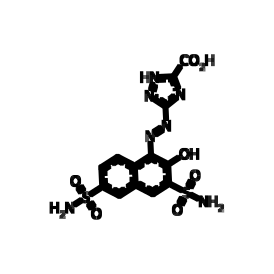 NS(=O)(=O)c1ccc2c(/N=N/c3n[nH]c(C(=O)O)n3)c(O)c(S(N)(=O)=O)cc2c1